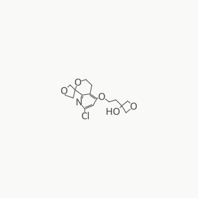 OC1(CCOc2cc(Cl)nc3c2CCOC32CCOC2)COC1